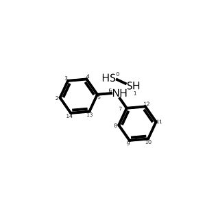 SS.c1ccc(Nc2ccccc2)cc1